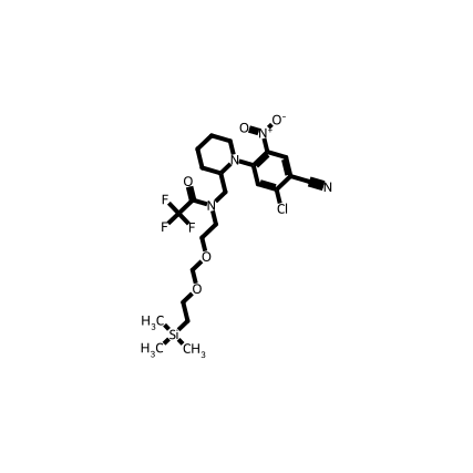 C[Si](C)(C)CCOCOCCN(CC1CCCCN1c1cc(Cl)c(C#N)cc1[N+](=O)[O-])C(=O)C(F)(F)F